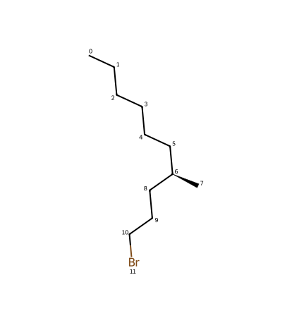 CCCCCC[C@@H](C)CCCBr